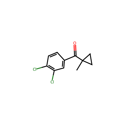 CC1(C(=O)c2ccc(Cl)c(Cl)c2)CC1